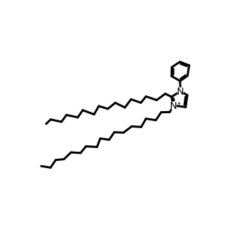 CCCCCCCCCCCCCCCCCC[n+]1ccn(-c2ccccc2)c1CCCCCCCCCCCCCCCC